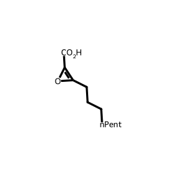 CCCCCCCCC1=C(C(=O)O)O1